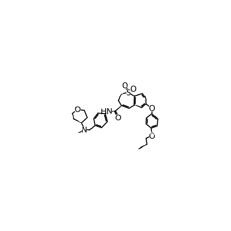 CCCOc1ccc(Oc2ccc3c(c2)C=C(C(=O)Nc2ccc(CN(C)C4CCOCC4)cc2)CCS3(=O)=O)cc1